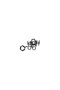 c1ccc(CO[C@@H]2OC[C@@H]3[C@H]2[C@@H]2CC[C@H]3O2)cc1